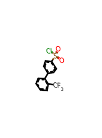 O=S(=O)(Cl)c1ccc(-c2ccccc2C(F)(F)F)cc1